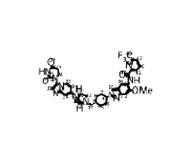 COc1cc2nn([C@H]3CC[C@H](CN4C[C@H]5C[C@@H]4CN5c4ccn5c(N6CCC(=O)NC6=O)cnc5c4)CC3)cc2cc1NC(=O)c1cccc(C(F)(F)F)n1